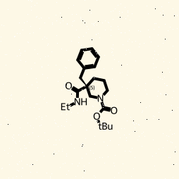 CCNC(=O)[C@]1(Cc2ccccc2)CCCN(C(=O)OC(C)(C)C)C1